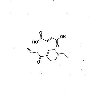 C=CCC(=O)C1=CCN(CC)CC1.O=C(O)C=CC(=O)O